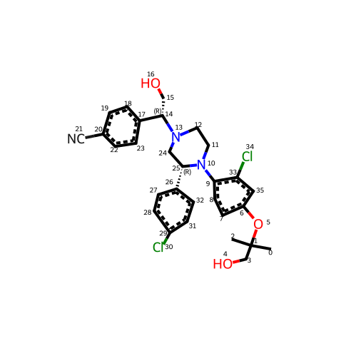 CC(C)(CO)Oc1ccc(N2CCN([C@@H](CO)c3ccc(C#N)cc3)C[C@H]2c2ccc(Cl)cc2)c(Cl)c1